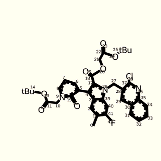 Cc1cc2c(-c3cccn(CC(=O)OC(C)(C)C)c3=O)c(C(=O)OCC(=O)OC(C)(C)C)n(Cc3cc4ccccc4nc3Cl)c2cc1F